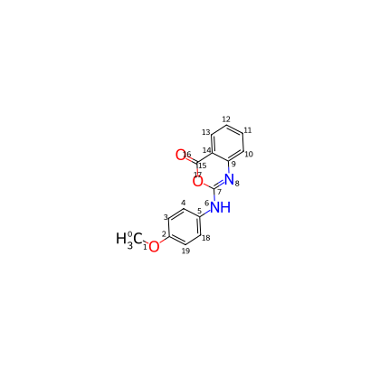 COc1ccc(Nc2nc3ccccc3c(=O)o2)cc1